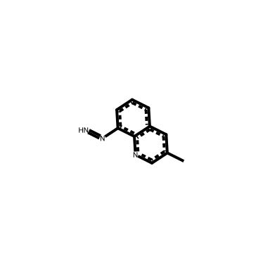 Cc1cnc2c(N=N)cccc2c1